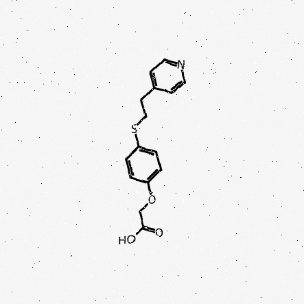 O=C(O)COc1ccc(SCCc2ccncc2)cc1